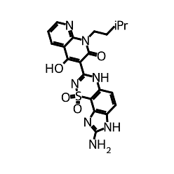 CC(C)CCn1c(=O)c(C2=NS(=O)(=O)c3c(ccc4[nH]c(N)nc34)N2)c(O)c2cccnc21